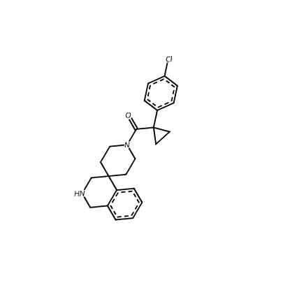 O=C(N1CCC2(CC1)CNCc1ccccc12)C1(c2ccc(Cl)cc2)CC1